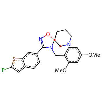 COc1ccc(CN2C(c3ccc4cc(F)sc4c3)=NO[C@]23CN2CCC3CC2)c(OC)c1